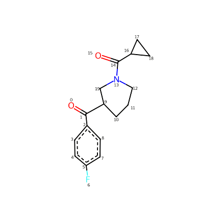 O=C(c1ccc(F)cc1)C1CCCN(C(=O)C2CC2)C1